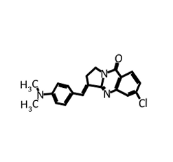 CN(C)c1ccc(C=C2CCn3c2nc2cc(Cl)ccc2c3=O)cc1